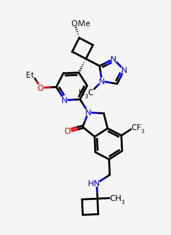 CCOc1cc([C@]2(c3nncn3C)C[C@H](OC)C2)cc(N2Cc3c(cc(CNC4(C)CCC4)cc3C(F)(F)F)C2=O)n1